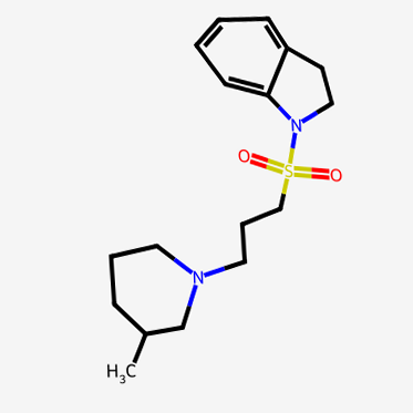 CC1CCCN(CCCS(=O)(=O)N2CCc3ccccc32)C1